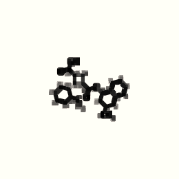 CC1C=c2ccccc2=C(OC(=O)C2C[C@H](C(=O)O)[C@H]2C2C=CC=CC2C)C1